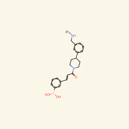 CC(C)NCc1cccc(C2CCN(C(=O)/C=C/c3cccc(B(O)O)c3)CC2)c1